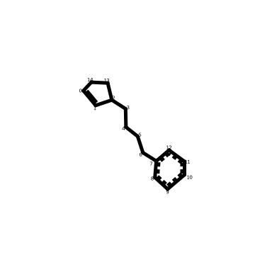 C1=CC(CCCCc2ccccc2)CC1